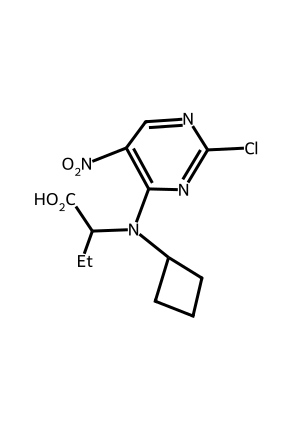 CCC(C(=O)O)N(c1nc(Cl)ncc1[N+](=O)[O-])C1CCC1